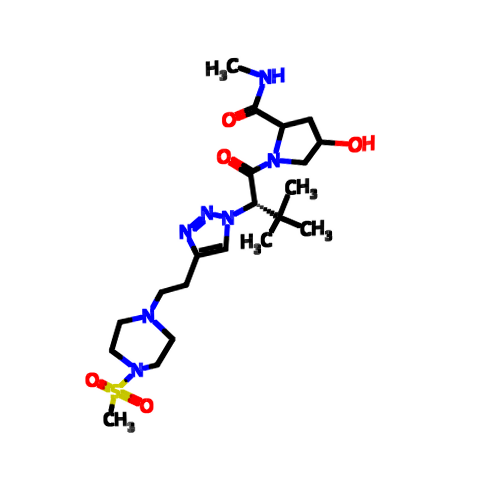 CNC(=O)C1CC(O)CN1C(=O)[C@@H](n1cc(CCN2CCN(S(C)(=O)=O)CC2)nn1)C(C)(C)C